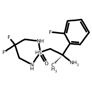 C[C@](N)(C[SH]1(=O)NCC(F)(F)CN1)c1ccccc1F